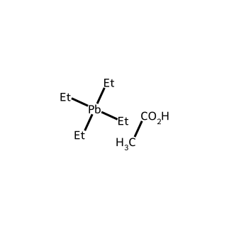 CC(=O)O.C[CH2][Pb]([CH2]C)([CH2]C)[CH2]C